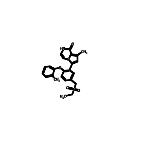 CCS(=O)(=O)Cc1ccc(Oc2ccccc2C)c(-c2cc(C)c3c(=O)[nH]ccn23)c1